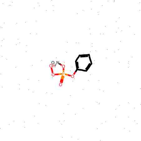 O=[N+]([O-])OP(=O)(OO)Oc1ccccc1